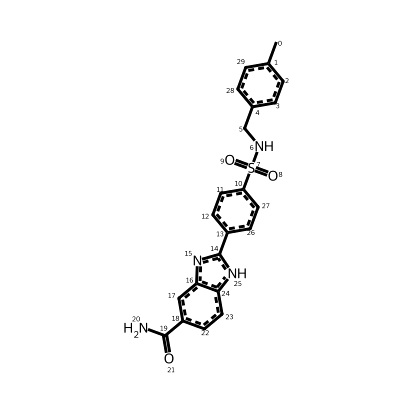 Cc1ccc(CNS(=O)(=O)c2ccc(-c3nc4cc(C(N)=O)ccc4[nH]3)cc2)cc1